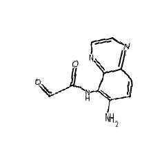 Nc1ccc2nccnc2c1NC(=O)C=O